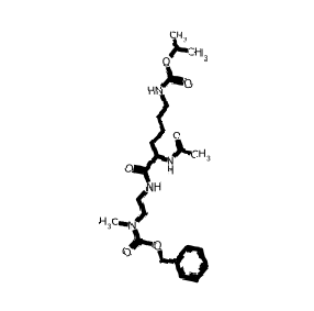 CC(=O)NC(CCCCNC(=O)OC(C)C)C(=O)NCCN(C)C(=O)OCc1ccccc1